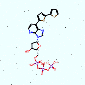 O=P(O)(O)OP(=O)(O)OP(=O)(O)OC[C@H]1O[C@@H](n2cnc3c(-c4ccc(-c5cccs5)s4)ccnc32)CC1O